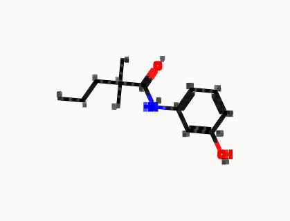 CCCC(C)(C)C(=O)Nc1cccc(O)c1